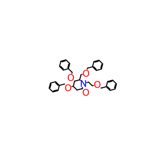 O=C1CC(OCc2ccccc2)C(OCc2ccccc2)C(COCc2ccccc2)N1CCOCc1ccccc1